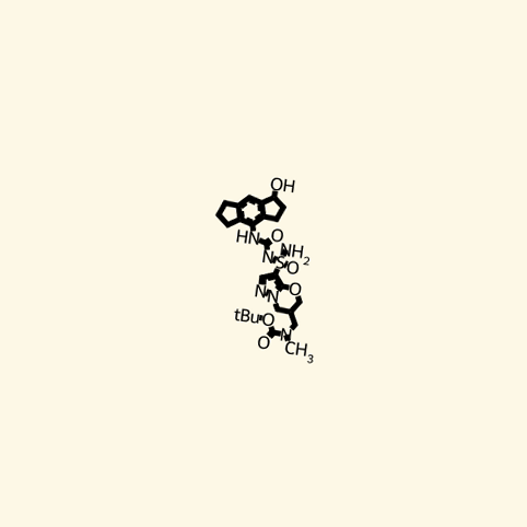 CN(CC1COc2c(S(N)(=O)=NC(=O)Nc3c4c(cc5c3CCC5O)CCC4)cnn2C1)C(=O)OC(C)(C)C